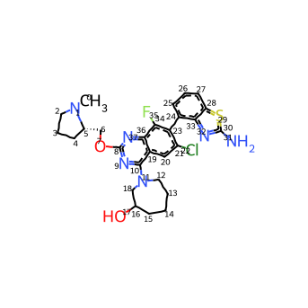 CN1CCC[C@H]1COc1nc(N2CCCCC(O)C2)c2cc(Cl)c(-c3cccc4sc(N)nc34)c(F)c2n1